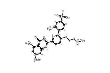 COc1cc(OC)c2c(=O)[nH]c(-c3ccc(OCCNC(C)C)c(-c4ccc(S(C)(=O)=O)cc4C(F)(F)F)n3)nc2c1